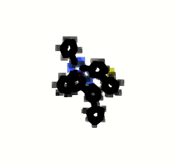 c1ccc(-c2ccc3c(c2)c2ccccc2n3-c2c(-c3nc(-c4ccccc4)nc(-c4ccccc4)n3)ccc3sc4ccccc4c23)cc1